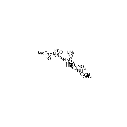 COc1cc(CN2CCN(C3CC4(C3)CN(c3ccc(C(=O)NS(=O)(=O)c5ccc(NC[C@H]6CC[C@](C)(O)CC6)c([N+](=O)[O-])c5)c(Oc5cnc6[nH]cc(F)c6c5)c3)C4)[C@H](c3ccccc3C(C)C)C2)cc2occc12